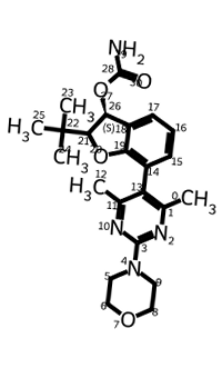 Cc1nc(N2CCOCC2)nc(C)c1-c1cccc2c1OC(C(C)(C)C)[C@H]2OC(N)=O